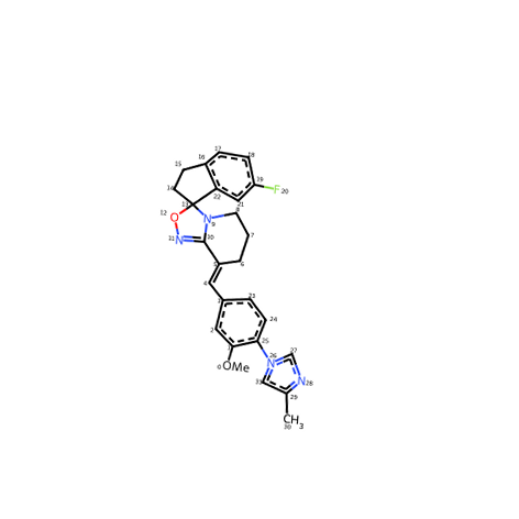 COc1cc(/C=C2\CCCN3C2=NOC32CCc3ccc(F)cc32)ccc1-n1cnc(C)c1